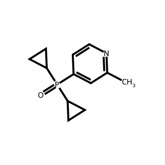 Cc1cc(P(=O)(C2CC2)C2CC2)ccn1